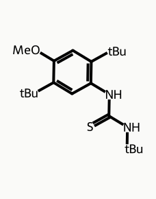 COc1cc(C(C)(C)C)c(NC(=S)NC(C)(C)C)cc1C(C)(C)C